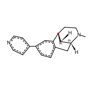 CN1CCC23CCCC[C@H]2[C@H]1Cc1ccc(-c2ccncc2)cc13